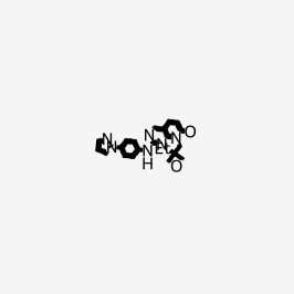 CCC1(Cn2c(=O)ccc3cnc(Nc4ccc(-n5cccn5)cc4)nc32)COC1